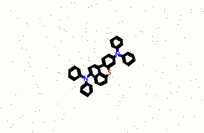 c1ccc(N(c2ccccc2)c2ccc3c(c2)Sc2cccc4c(N(c5ccccc5)c5ccccc5)ccc-3c24)cc1